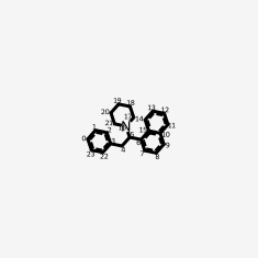 c1ccc(CC(c2cccc3ccccc23)N2CCCCC2)cc1